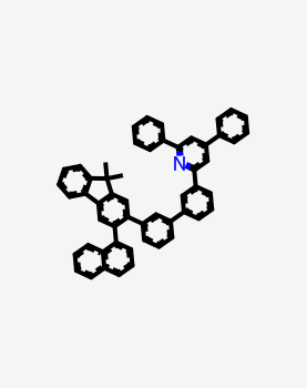 CC1(C)c2ccccc2-c2cc(-c3cccc4ccccc34)c(-c3cccc(-c4cccc(-c5cc(-c6ccccc6)cc(-c6ccccc6)n5)c4)c3)cc21